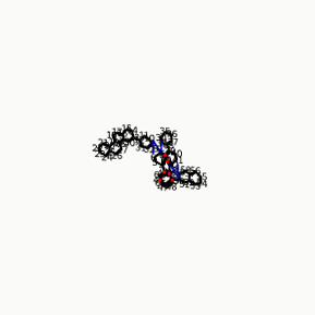 c1ccc(-c2ccc(N(c3ccc(-c4ccc5ccc6c7ccccc7ccc6c5c4)cc3)c3ccccc3-c3ccc(-n4c5ccccc5c5cc6ccccc6cc54)cc3)cc2)cc1